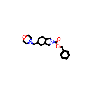 O=C(OCc1ccccc1)N1CC2CCC(CN3CCOCC3)CC2C1